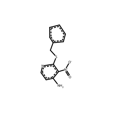 Nc1ccnc(SCc2ccccc2)c1[N+](=O)[O-]